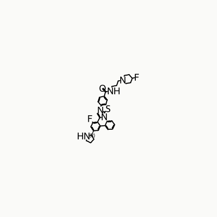 O=C(NCCCN1CCC(F)CC1)c1ccc2c(c1)sc1nc(-c3c(F)cc([C@H]4CCCN4)cc3-c3ccccc3)cn12